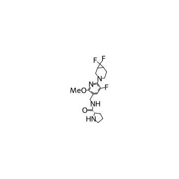 COc1nc(N2CCC3C(C2)C3(F)F)c(F)cc1CNC(=O)[C@@H]1CCCN1